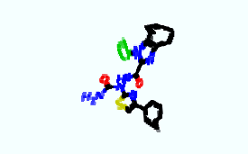 NC(=O)N(NC(=O)c1nc2ccccc2n1Cl)c1nc(-c2ccccc2)cs1